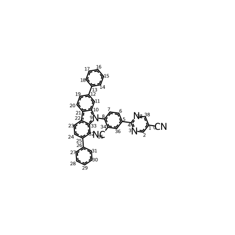 N#Cc1cnc(-c2ccc(-n3c4cc(-c5ccccc5)ccc4c4ccc(-c5ccccc5)cc43)c(C#N)c2)nc1